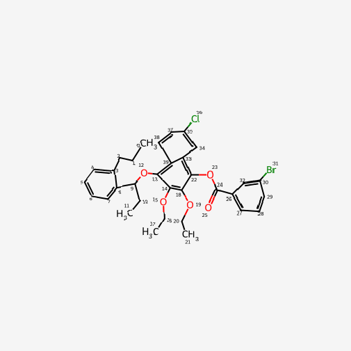 CCCc1ccccc1C(CC)Oc1c(OCC)c(OCC)c(OC(=O)c2cccc(Br)c2)c2cc(Cl)ccc12